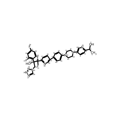 CC(O)c1ccc(N2CCN(c3ccc(-c4ccc(C(F)(F)[C@](O)(Cn5cnnn5)c5ccc(F)cc5F)nc4)cc3)CC2)cn1